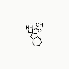 NCC1(CC(=O)O)CC2CCCCCC2C1